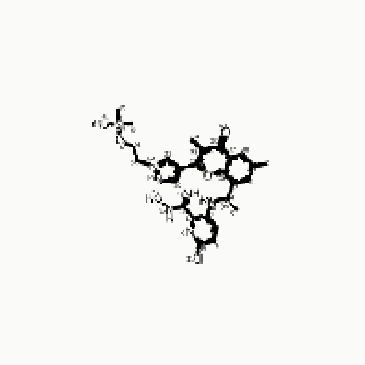 Cc1cc([C@@H](C)Nc2ccc(Cl)nc2C(=N)NO)c2oc(-c3cnn(CCO[Si](C)(C)C(C)(C)C)c3)c(C)c(=O)c2c1